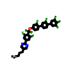 CCCCc1cnc(-c2cc(F)c(C(F)(F)Oc3ccc(-c4ccc(-c5cc(F)c(F)c(F)c5)c(F)c4)c(F)c3)c(F)c2)nc1